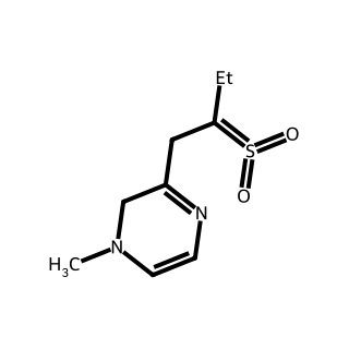 CCC(CC1=NC=CN(C)C1)=S(=O)=O